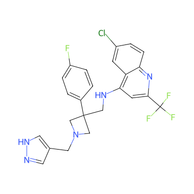 Fc1ccc(C2(CNc3cc(C(F)(F)F)nc4ccc(Cl)cc34)CN(Cc3cn[nH]c3)C2)cc1